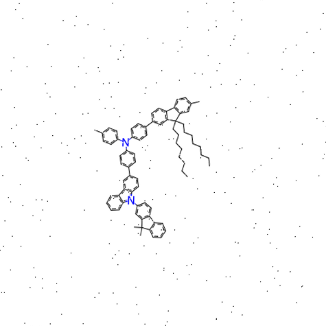 CCCCCCCCC1(CCCCCCCC)c2cc(C)ccc2-c2ccc(-c3ccc(N(c4ccc(C)cc4)c4ccc(-c5ccc6c(c5)c5ccccc5n6-c5ccc6c(c5)C(C)(C)c5ccccc5-6)cc4)cc3)cc21